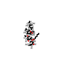 CC=CC/C=C/C(=O)N[C@@]1(C)C(C)(O)[C@](C)(O)C(C)(CO)O[C@@]1(C)O[C@]1(C)C(C)(CO)O[C@@](C)(O[C@]2(C)C(C)(CO)O[C@@](C)(O[C@]3(C)C(C)(COS(=O)(=O)O)OC(O)C(C)(NC(C)=O)[C@@]3(C)O)[C@@](C)(NC(C)=O)C2(C)O)[C@@](C)(NC(C)=O)C1(C)O